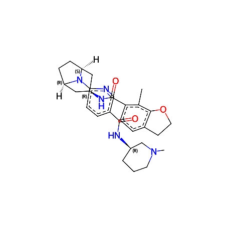 Cc1c(C(=O)N[C@H]2C[C@H]3CC[C@@H](C2)N3c2ccc(C(=O)N[C@@H]3CCCN(C)C3)cn2)ccc2c1OCC2